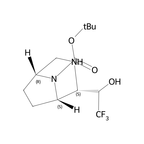 CC(C)(C)OC(=O)N1[C@@H]2CC[C@H]1[C@@H](C(O)C(F)(F)F)NC2